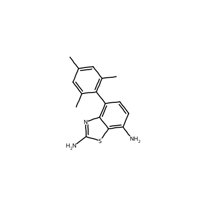 Cc1cc(C)c(-c2ccc(N)c3sc(N)nc23)c(C)c1